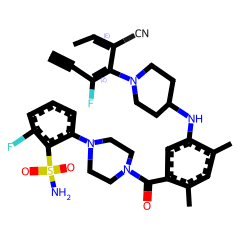 C#C/C(F)=C(\C(C#N)=C/C)N1CCC(Nc2cc(C(=O)N3CCN(c4cccc(F)c4S(N)(=O)=O)CC3)c(C)cc2C)CC1